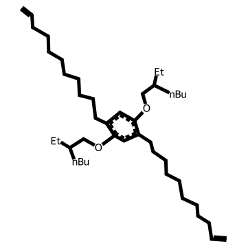 C=CCCCCCCCCCc1cc(OCC(CC)CCCC)c(CCCCCCCCCC=C)cc1OCC(CC)CCCC